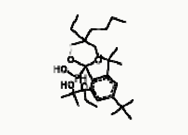 CCCCC1(CC)COC(c2c(C(C)(C)C)cc(C(C)(C)C)cc2C(C)(C)C)([PH](O)(O)OCC)OC1